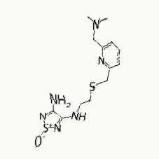 CN(C)Cc1cccc(CSCCNc2n[s+]([O-])nc2N)n1